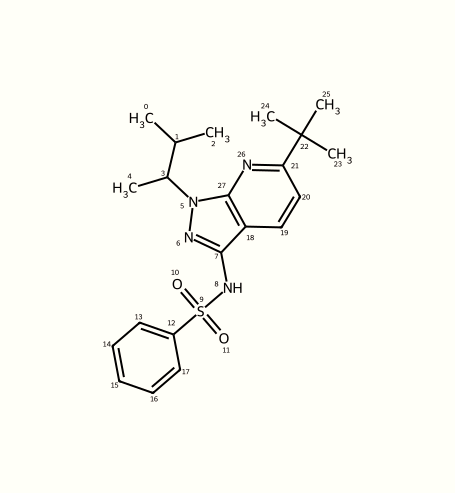 CC(C)C(C)n1nc(NS(=O)(=O)c2ccccc2)c2ccc(C(C)(C)C)nc21